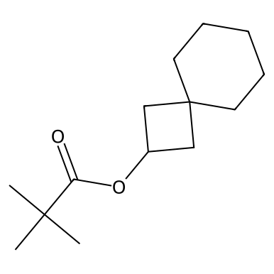 CC(C)(C)C(=O)OC1CC2(CCCCC2)C1